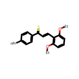 CCCc1ccc(C(=S)C=Cc2c(OCC)cccc2OCC)cc1